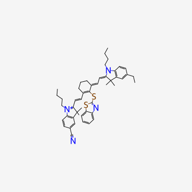 CCCCN1/C(=C/C=C2\CCCC(/C=C/C3=[N+](CCCC)c4ccc(C#N)cc4C3(C)C)=C2Sc2nc3ccccc3s2)C(C)(C)c2cc(CC)ccc21